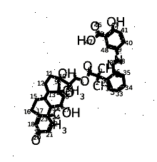 CC(C)(C(=O)OCC(=O)C1(O)CCC2C3CCC4=CC(=O)C=CC4(C)C3C(O)CC21C)c1ccccc1/N=N/c1ccc(O)c(C(=O)O)c1